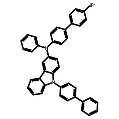 CC(C)c1ccc(-c2ccc(N(c3ccccc3)c3ccc4c(c3)c3ccccc3n4-c3ccc(-c4ccccc4)cc3)cc2)cc1